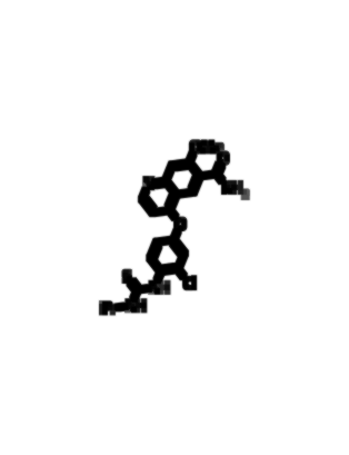 COc1cc2nccc(Oc3ccc(NC(=S)NC(C)C)c(Cl)c3)c2cc1C(N)=O